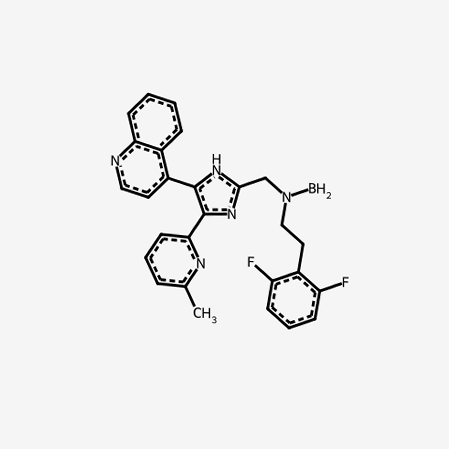 BN(CCc1c(F)cccc1F)Cc1nc(-c2cccc(C)n2)c(-c2ccnc3ccccc23)[nH]1